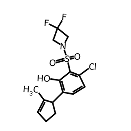 CC1=CCCC1c1ccc(Cl)c(S(=O)(=O)N2CC(F)(F)C2)c1O